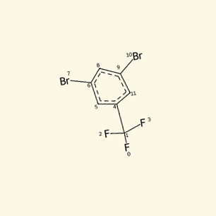 FC(F)(F)c1cc(Br)cc(Br)c1